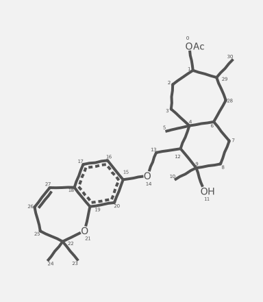 CC(=O)OC1CCC2(C)C(CCC(C)(O)C2COc2ccc3c(c2)OC(C)(C)CC=C3)CC1C